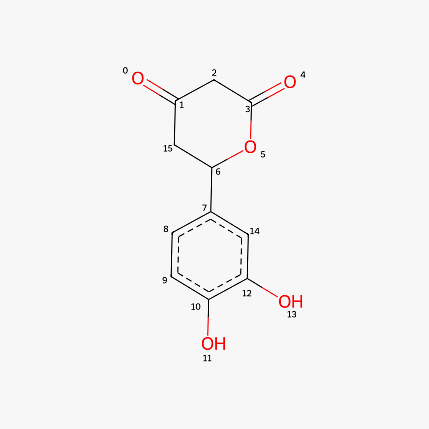 O=C1CC(=O)OC(c2ccc(O)c(O)c2)C1